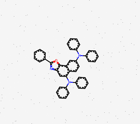 c1ccc(-c2nc3cc(N(c4ccccc4)c4ccccc4)c4ccc(N(c5ccccc5)c5ccccc5)cc4c3o2)cc1